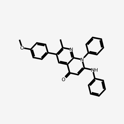 COc1ccc(-c2cc3c(=O)cc(Nc4ccccc4)n(-c4ccccc4)c3nc2C)cc1